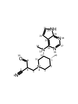 C[C@@H]1CCN(CC(C#N)C=O)C[C@@H]1N(C)c1ncnc2[nH]ccc12